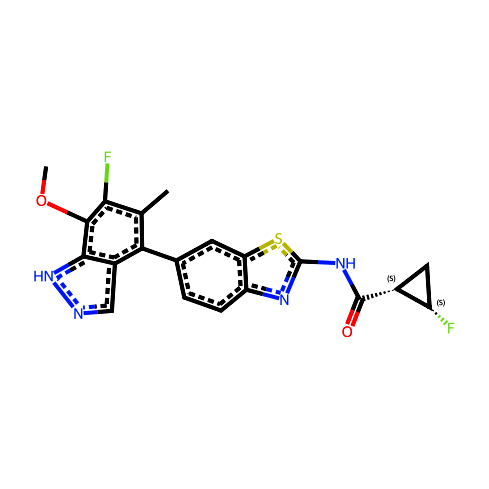 COc1c(F)c(C)c(-c2ccc3nc(NC(=O)[C@@H]4C[C@@H]4F)sc3c2)c2cn[nH]c12